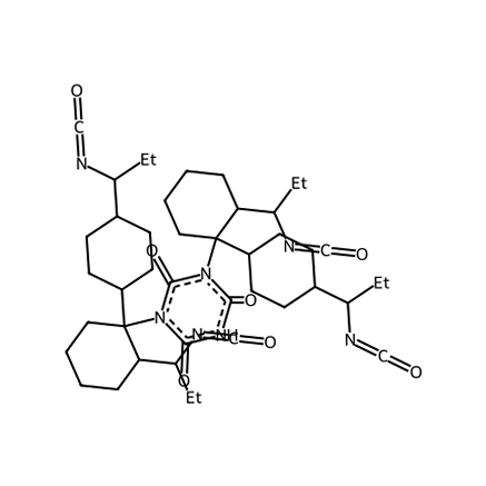 CCC(N=C=O)C1CCC(C2(n3c(=O)[nH]c(=O)n(C4(C5CCC(C(CC)N=C=O)CC5)CCCCC4C(CC)N=C=O)c3=O)CCCCC2C(CC)N=C=O)CC1